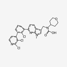 Cn1cc(CN(C(=O)O)C2CCOCC2)c2ccc(-c3cccc(-c4ccnc(Cl)c4Cl)c3Cl)nc21